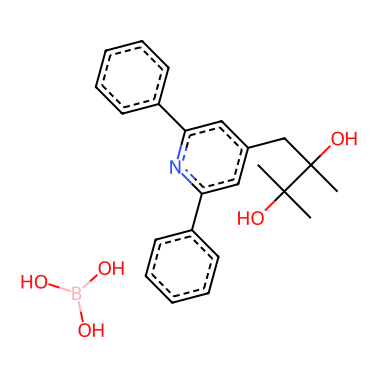 CC(C)(O)C(C)(O)Cc1cc(-c2ccccc2)nc(-c2ccccc2)c1.OB(O)O